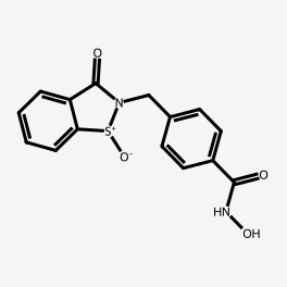 O=C(NO)c1ccc(Cn2c(=O)c3ccccc3[s+]2[O-])cc1